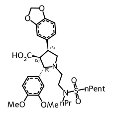 CCCCCS(=O)(=O)N(CCC)CCN1C[C@H](c2ccc3c(c2)OCO3)[C@H](C(=O)O)[C@H]1c1ccc(OC)c(OC)c1